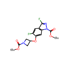 CC(C)(C)OC(=O)N1CC(Oc2cc3c(cc2F)c(F)nn3C(=O)OC(C)(C)C)C1